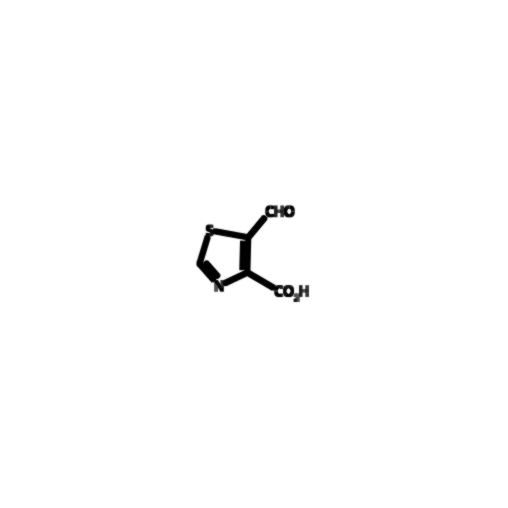 O=Cc1scnc1C(=O)O